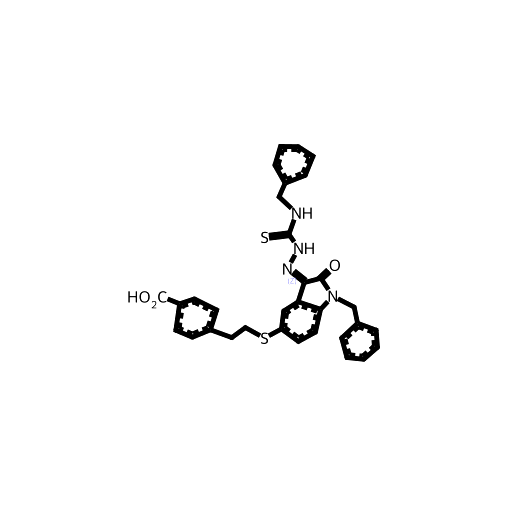 O=C(O)c1ccc(CCSc2ccc3c(c2)/C(=N/NC(=S)NCc2ccccc2)C(=O)N3Cc2ccccc2)cc1